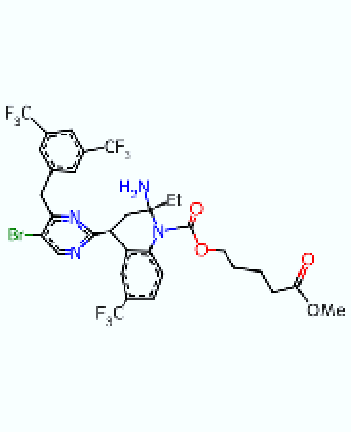 CC[C@]1(N)C[C@H](c2ncc(Br)c(Cc3cc(C(F)(F)F)cc(C(F)(F)F)c3)n2)c2cc(C(F)(F)F)ccc2N1C(=O)OCCCCC(=O)OC